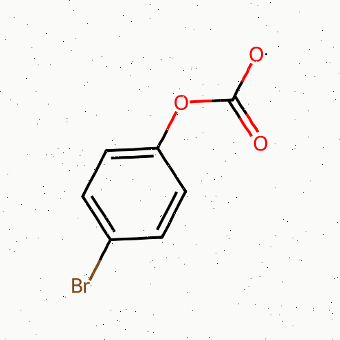 [O]C(=O)Oc1ccc(Br)cc1